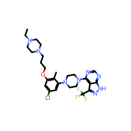 CCN1CCN(CCCOc2cc(Cl)cc(N3CCN(c4ncnc5[nH]nc(C(F)(F)F)c45)CC3)c2C)CC1